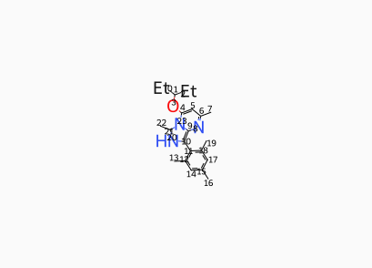 CCC(CC)OC1=CC(C)=NC2=C(c3c(C)cc(C)cc3C)NC(C)N12